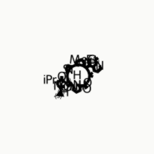 CCn1c(-c2cccnc2[C@H](C)OC)c2c3cc(ccc31)-c1csc(n1)C[C@H](NC(=O)C(C(C)C)N(C)C(=O)[C@@H]1C[C@@H]1C)C(=O)N1CCC[C@H](N1)C(=O)OCC(C)(C)C2